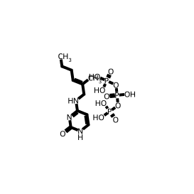 CCCC=C(C)CNc1cc[nH]c(=O)n1.O=P(O)(O)OP(=O)(O)OP(=O)(O)O